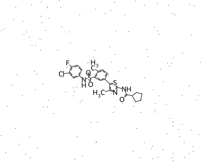 Cc1ccc(-c2sc(NC(=O)C3CCCC3)nc2C)cc1S(=O)(=O)Nc1ccc(F)c(Cl)c1